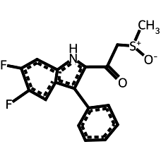 C[S+]([O-])CC(=O)c1[nH]c2cc(F)c(F)cc2c1-c1ccccc1